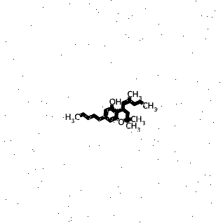 CCCCCc1cc(O)c2c(c1)OC(C)(C)CC2C=C(C)CCC